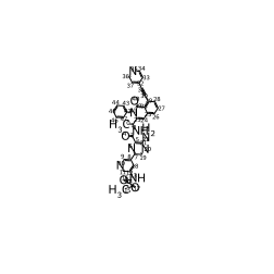 C[C@H](NC(=O)c1nc(-c2cncc(NS(C)(=O)=O)c2)cnc1N)c1cc2cccc(C#Cc3ccncc3)c2c(=O)n1-c1ccccc1